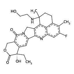 CC[C@@]1(O)C(=O)OCc2c1cc1n(c2=O)Cc2c-1nc1cc(F)c(C)c3c1c2C(C)(NCCO)CC3